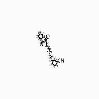 N#Cc1cccc(OCCCOCCCN2C(=O)c3ccccc3C2=O)c1